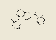 Cc1ccc(C)c(C(=NO)c2ccc(Nc3cnccc3C)cc2Cl)c1